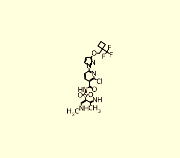 CN/C=C(\C(C)=N)S(=O)(=O)NC(=O)c1ccc(-n2ccc(OCC3(C(F)(F)F)CCC3)n2)nc1Cl